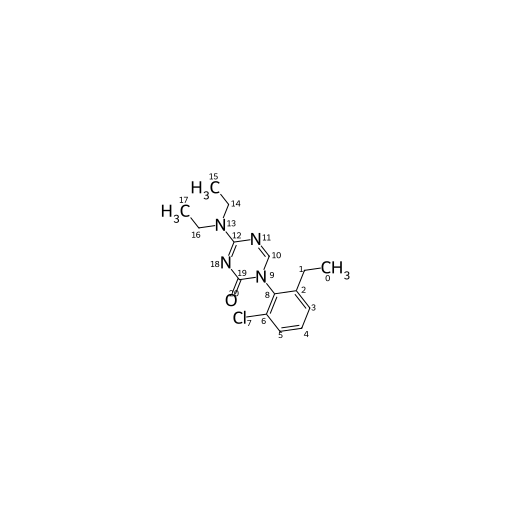 CCc1cccc(Cl)c1-n1cnc(N(CC)CC)nc1=O